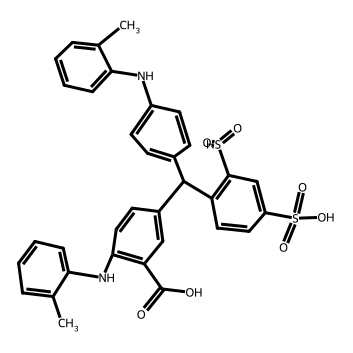 Cc1ccccc1Nc1ccc(C(c2ccc(Nc3ccccc3C)c(C(=O)O)c2)c2ccc(S(=O)(=O)O)cc2[SH](=O)=O)cc1